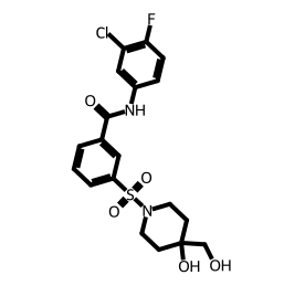 O=C(Nc1ccc(F)c(Cl)c1)c1cccc(S(=O)(=O)N2CCC(O)(CO)CC2)c1